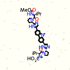 COC(=O)N[C@H](C(=O)N1CCCC1c1ncc(-c2ccc3c4ccc(-c5cnc([C@@H]6CCCN6C(=O)[C@H](C(C)C)N(C)C(=O)O)[nH]5)cc4n(C)c3c2)[nH]1)C(C)C